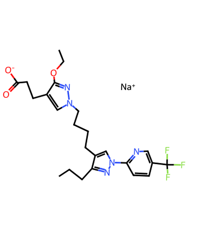 CCCc1nn(-c2ccc(C(F)(F)F)cn2)cc1CCCCn1cc(CCC(=O)[O-])c(OCC)n1.[Na+]